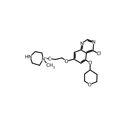 C[N+]1(CCCOc2cc(OC3CCOCC3)c3c(Cl)ncnc3c2)CCNCC1